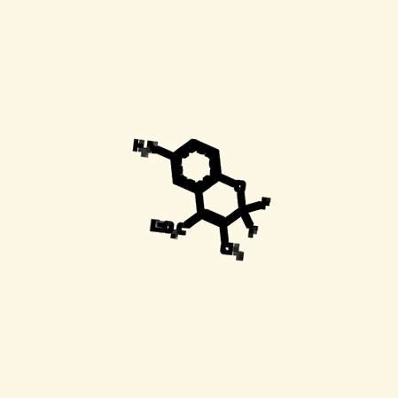 CCOC(=O)C1=C(C)C(F)(F)Oc2ccc(N)cc21